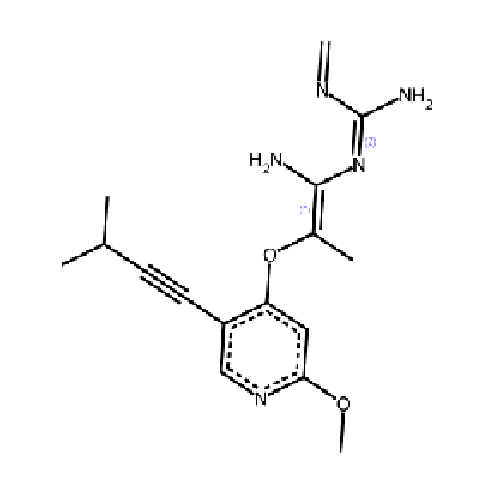 C=N/C(N)=N\C(N)=C(/C)Oc1cc(OC)ncc1C#CC(C)C